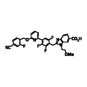 COCCn1c(Cc2c(F)cc(-c3cccc(OCc4ccc(C#N)cc4F)n3)c(F)c2F)nc2ccc(C(=O)O)cc21